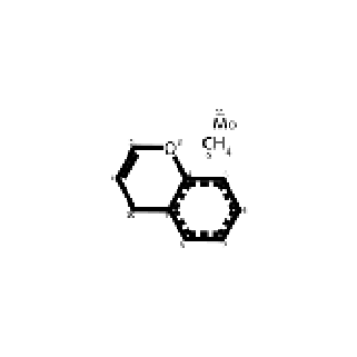 C.C1=COc2ccccc2C1.[Mo]